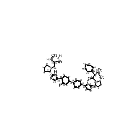 CCN(CC)[C@@H](C(=O)N1CCC[C@H]1c1ncc(-c2ccc(-c3ccc(-c4cnc([C@@H]5CCCN5C[C@@H](NC(=O)O)C(C)C)[nH]4)c(F)c3)cc2)[nH]1)c1ccccc1